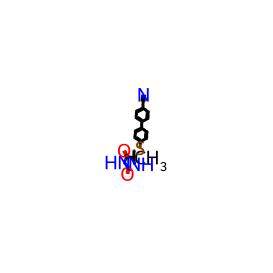 CC1(CSc2ccc(-c3ccc(C#N)cc3)cc2)NC(=O)NC1=O